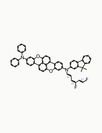 CC1(C)c2ccccc2-c2ccc(N(/C=C/C=C(F)\C=C\F)c3ccc4c(c3)Oc3ccc5c6c(ccc-4c36)Oc3cc(N(c4ccccc4)c4ccccc4)ccc3-5)cc21